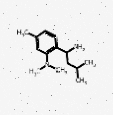 Cc1ccc(C(N)CC(C)C)c(N(C)C)c1